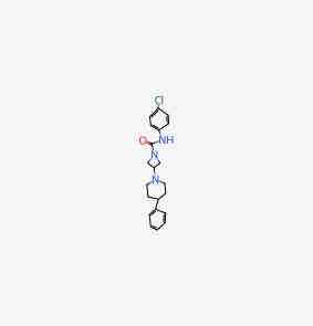 O=C(Nc1ccc(Cl)cc1)N1CC(N2CCC(c3ccccc3)CC2)C1